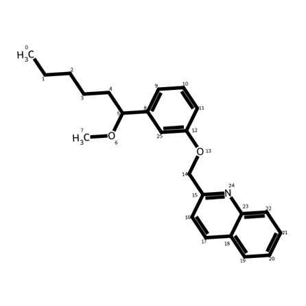 CCCCCC(OC)c1cccc(OCc2ccc3ccccc3n2)c1